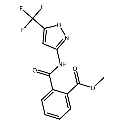 COC(=O)c1ccccc1C(=O)Nc1cc(C(F)(F)F)on1